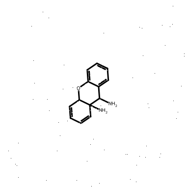 NC1c2ccccc2OC2C=CC=CC21N